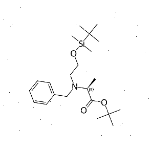 C[C@@H](C(=O)OC(C)(C)C)N(CCO[Si](C)(C)C(C)(C)C)Cc1ccccc1